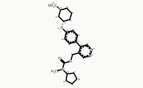 CN(C(=O)OCc1cnncc1-c1ccc(O[C@H]2CCC[C@H](C(=O)O)C2)cc1)C1CCCC1